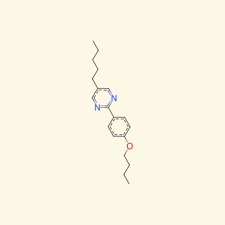 CCCCCc1cnc(-c2ccc(OCCCC)cc2)nc1